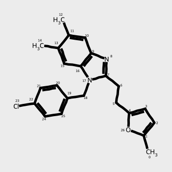 Cc1ccc(CCc2nc3cc(C)c(C)cc3n2Cc2ccc(Cl)cc2)o1